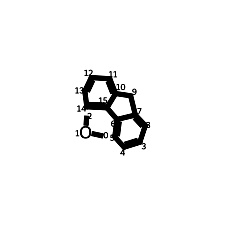 COC.c1ccc2c(c1)Cc1ccccc1-2